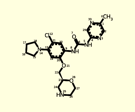 Cc1cnc(NC(=O)Nc2cc(Cl)c(N3CCCC3)cc2OC[C@@H]2CNCCO2)cn1